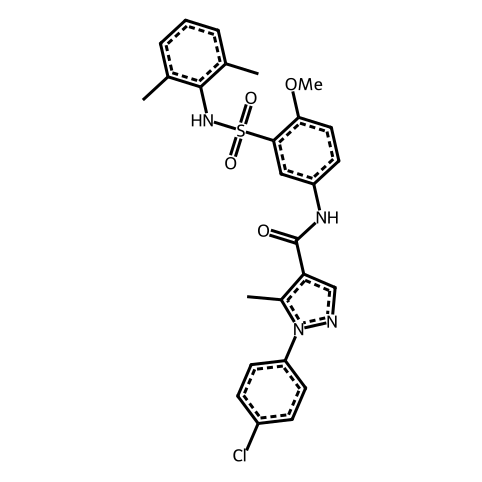 COc1ccc(NC(=O)c2cnn(-c3ccc(Cl)cc3)c2C)cc1S(=O)(=O)Nc1c(C)cccc1C